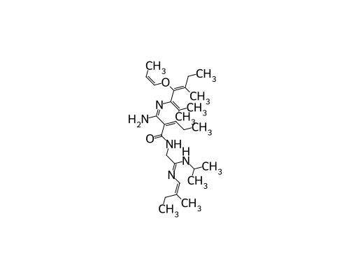 C/C=C\O/C(C(/N=C(N)\C(=C\CC)C(=O)NC/C(=N/C=C(/C)CC)NC(C)C)=C(C)C)=C(/C)CC